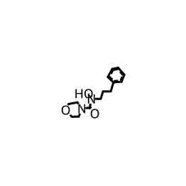 O=C(N(O)CCCc1ccccc1)N1CCOCC1